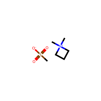 CS(=O)(=O)[O-].C[N+]1(C)CCC1